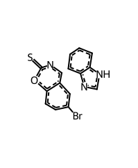 S=c1ncc2cc(Br)ccc2o1.c1ccc2[nH]cnc2c1